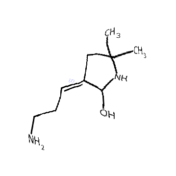 CC1(C)C/C(=C/CCN)C(O)N1